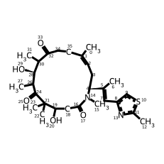 C/C1=C/C[C@@H](/C(C)=C/c2csc(C)n2)N(C)C(=O)CC(O)C(C)(C)C(=O)C(C)[C@@H](O)C(C)C(=O)CC1